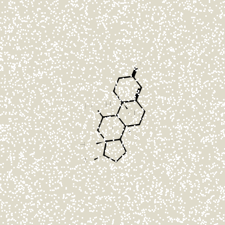 CC(=O)[C@@H]1CC[C@@H]2[C@H]3CCC4=CC(=O)CC[C@@]4(C)[C@@H]3C(O)C[C@]21C